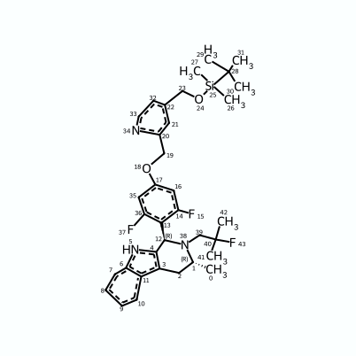 C[C@@H]1Cc2c([nH]c3ccccc23)[C@@H](c2c(F)cc(OCc3cc(CO[Si](C)(C)C(C)(C)C)ccn3)cc2F)N1CC(C)(C)F